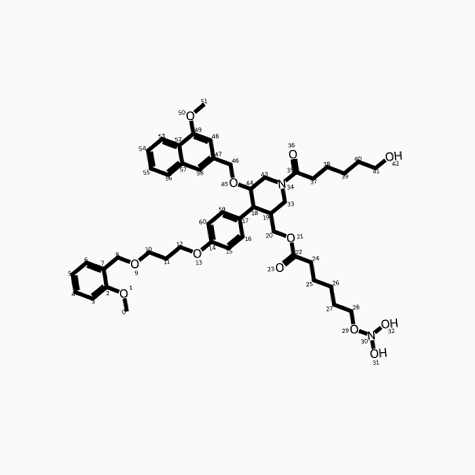 COc1ccccc1COCCCOc1ccc(C2C(COC(=O)CCCCCON(O)O)CN(C(=O)CCCCCO)CC2OCc2cc(OC)c3ccccc3c2)cc1